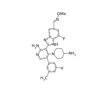 CON=Cc1cc(F)c2[nH]c(-c3c(N)ncc(-c4cc(C)cc(F)c4)c3N3CCC(N)CC3)nc2c1